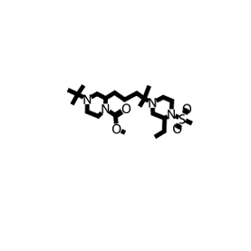 CCC1CN(C(C)(C)CCCC2CN(C(C)(C)C)CCN2C(=O)OC)CCN1S(C)(=O)=O